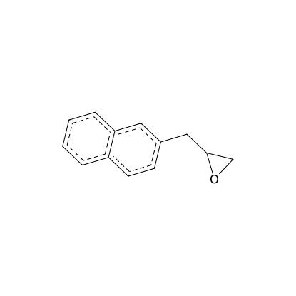 c1ccc2cc(CC3CO3)ccc2c1